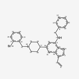 C=Cc1cnn2c(NCc3cccnc3)cc(C3CCN(Cc4ccccc4Br)CC3)nc12